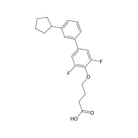 O=C(O)CCCOc1c(F)cc(-c2cccc(C3CCCC3)c2)cc1F